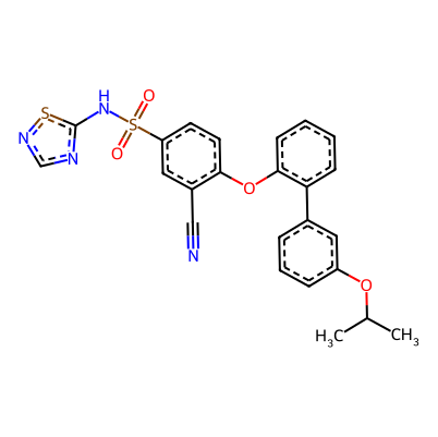 CC(C)Oc1cccc(-c2ccccc2Oc2ccc(S(=O)(=O)Nc3ncns3)cc2C#N)c1